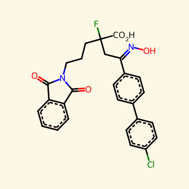 O=C1c2ccccc2C(=O)N1CCCC(F)(CC(=NO)c1ccc(-c2ccc(Cl)cc2)cc1)C(=O)O